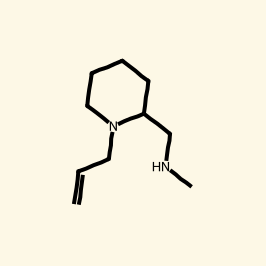 C=CCN1CCCCC1CNC